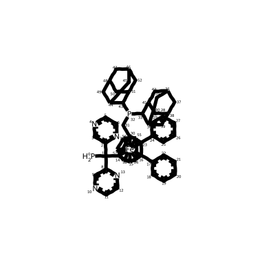 PC(c1cnccn1)(c1cnccn1)[C]12[CH]3[C]4(c5ccccc5)[C]5(c6ccccc6)[C]1(CP(C1C6CC7CC(C6)CC1C7)C1C6CC7CC(C6)CC1C7)[Fe]34521678[CH]2[CH]1[CH]6[CH]7[CH]28